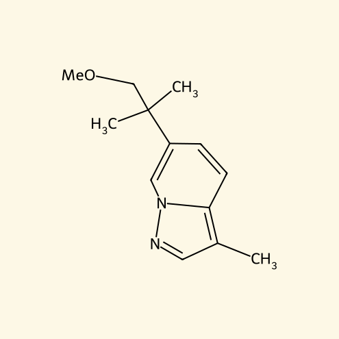 COCC(C)(C)c1ccc2c(C)cnn2c1